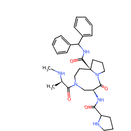 CN[C@H](C)C(=O)N1CC[C@]2(C(=O)NC(c3ccccc3)c3ccccc3)CCCN2C(=O)[C@@H](NC(=O)C2CCCN2)C1